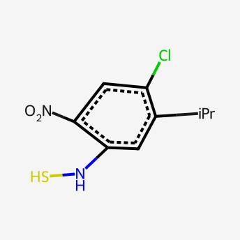 CC(C)c1cc(NS)c([N+](=O)[O-])cc1Cl